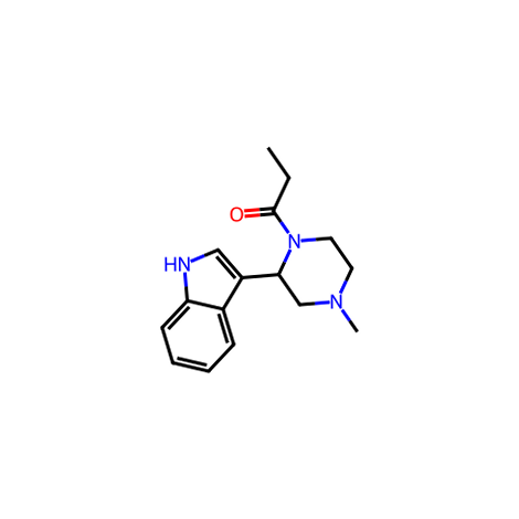 CCC(=O)N1CCN(C)CC1c1c[nH]c2ccccc12